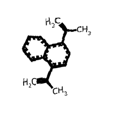 C=C(C)c1ccc(C(=C)C)c2ccccc12